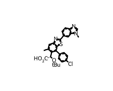 Cc1cc2nc(-c3ccc4ncn(C)c4c3)sc2c(-c2ccc(Cl)cc2)c1[C@H](OC(C)(C)C)C(=O)O